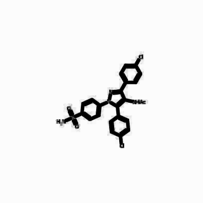 CC(=O)Nc1c(-c2ccc(Cl)cc2)nn(-c2ccc(S(N)(=O)=O)cc2)c1-c1ccc(Cl)cc1